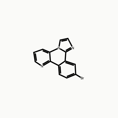 Brc1ccc2c(c1)c1nccn1c1cccnc21